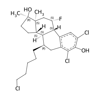 C[C@]12C[C@H](F)[C@@H]3c4cc(Cl)c(O)c(Cl)c4C[C@@H](CCCCCCl)[C@H]3[C@@H]1CC[C@@]2(C)O